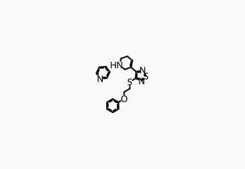 C1=C(c2nsnc2SCCOc2ccccc2)CNCC1.c1ccncc1